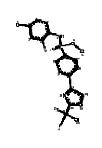 CCOP(=O)(Nc1ccc(Cl)cc1Cl)c1ccc(-c2noc(C(F)(F)Cl)n2)cc1